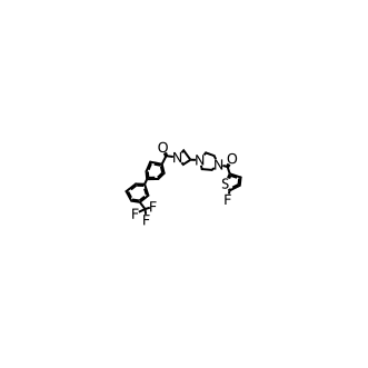 O=C(c1ccc(-c2cccc(C(F)(F)F)c2)cc1)N1CC(N2CCN(C(=O)c3ccc(F)s3)CC2)C1